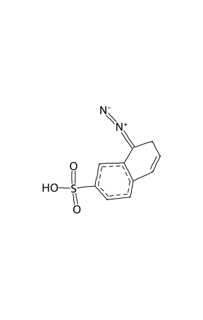 [N-]=[N+]=C1CC=Cc2ccc(S(=O)(=O)O)cc21